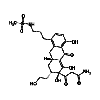 CS(=O)(=O)NCCCc1ccc(O)c2c1C[C@H]1C[C@@H](CCO)[C@@](O)(C(=O)CC(N)=O)C(O)=C1C2=O